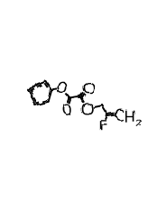 C=C(F)COC(=O)C(=O)Oc1ccccc1